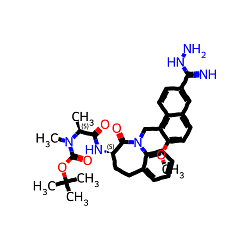 COc1ccc2cc(C(=N)NN)ccc2c1CN1C(=O)[C@@H](NC(=O)[C@H](C)N(C)C(=O)OC(C)(C)C)CCc2ccccc21